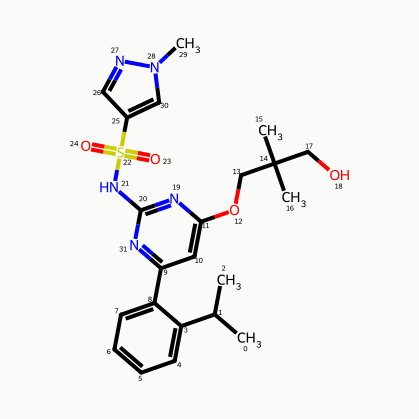 CC(C)c1ccccc1-c1cc(OCC(C)(C)CO)nc(NS(=O)(=O)c2cnn(C)c2)n1